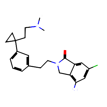 CN(C)CCC1(c2cccc(CCN3Cc4c(N)cc(Cl)cc4C3=O)c2)CC1